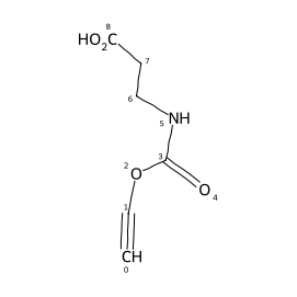 C#COC(=O)NCCC(=O)O